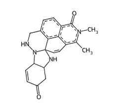 Cc1c2c3c4c(ccc3c(=O)n1C)CNN1C3C=CC(=O)CC3NC41C=C2